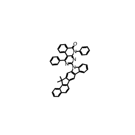 CC1(C)c2cc3c(cc2-c2ccc4ccccc4c21)c1ccccc1n3-c1nc(-c2ccccc2)c2c3ccccc3c(=O)n(-c3ccccc3)c2n1